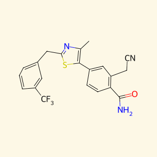 Cc1nc(Cc2cccc(C(F)(F)F)c2)sc1-c1ccc(C(N)=O)c(CC#N)c1